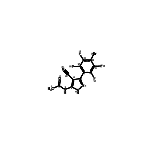 CC(=O)Nc1[nH]nc(-c2c(F)c(F)c(Br)c(F)c2F)c1C#N